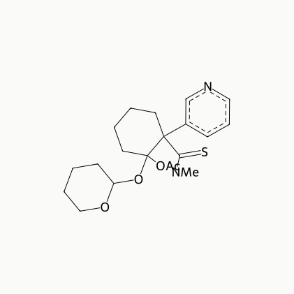 CNC(=S)C1(c2cccnc2)CCCCC1(OC(C)=O)OC1CCCCO1